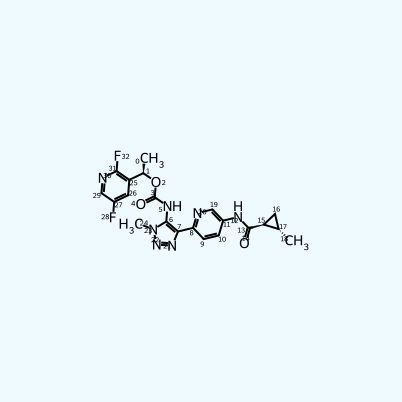 C[C@@H](OC(=O)Nc1c(-c2ccc(NC(=O)[C@H]3C[C@@H]3C)cn2)nnn1C)c1cc(F)cnc1F